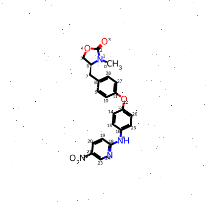 CN1C(=O)OC[C@@H]1Cc1ccc(Oc2ccc(Nc3ccc([N+](=O)[O-])cn3)cc2)cc1